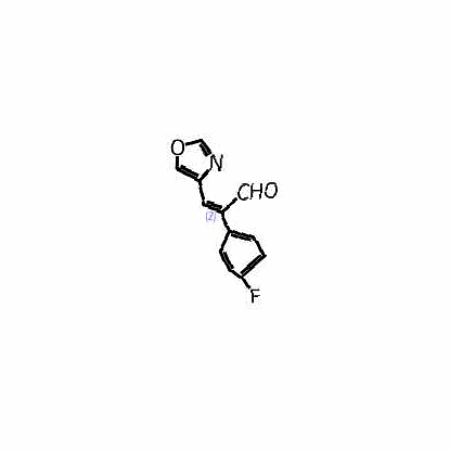 O=C/C(=C\c1cocn1)c1ccc(F)cc1